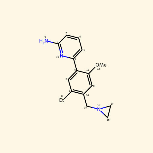 CCc1cc(-c2cccc(N)n2)c(OC)cc1CN1CC1